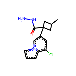 CC1CC(C(=O)NN)(c2cc(Cl)c3cccn3c2)C1